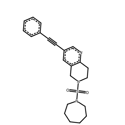 O=S(=O)(N1CCCCCC1)N1CCc2ncc(C#Cc3ccccc3)cc2C1